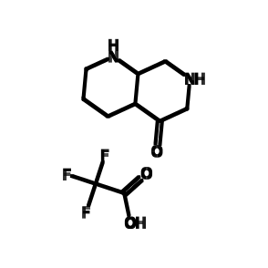 O=C(O)C(F)(F)F.O=C1CNCC2NCCCC12